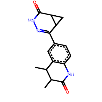 CC1C(=O)Nc2ccc(C3=NNC(=O)C4CC34)cc2C1C